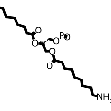 CCCCCCCC(=O)O[C@H](COP=O)COC(=O)CCCCCCCCN